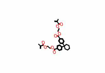 C=C(C)C(=O)OCCOC(=O)c1ccc(C2(c3ccc(C(=O)OCCOC(=O)C(=C)C)cc3)CCCCC2)cc1